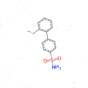 CCc1ccccc1-c1ccc(S(N)(=O)=O)cc1